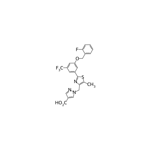 Cc1sc(-c2cc(OCc3ccccc3F)cc(C(F)(F)F)c2)nc1Cn1cc(C(=O)O)cn1